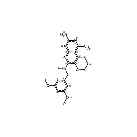 COc1cc(CN(C)c2nc3nc(N)nc(N)c3c3c2CCCC3)cc(OC)c1